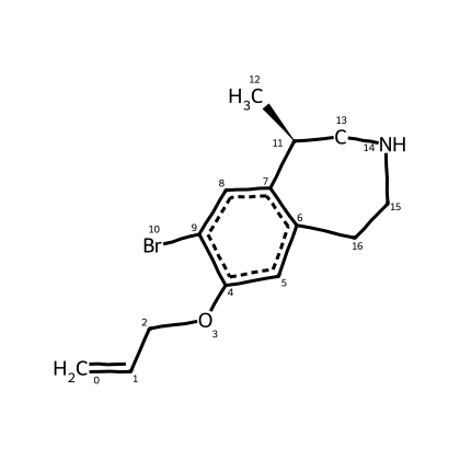 C=CCOc1cc2c(cc1Br)[C@@H](C)CNCC2